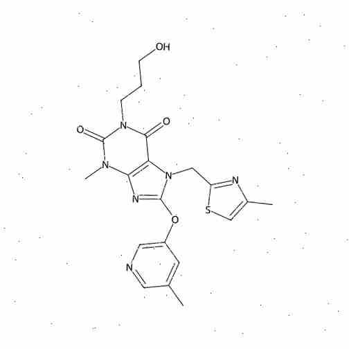 Cc1cncc(Oc2nc3c(c(=O)n(CCCO)c(=O)n3C)n2Cc2nc(C)cs2)c1